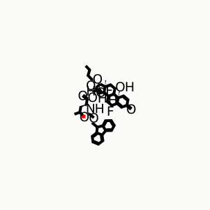 CCCC1O[C@@H]2C[C@H]3[C@@H]4C[C@H](F)C5=CC(=O)C=C[C@]5(C)[C@@]4(F)[C@@H](O)C[C@]3(C)[C@]2(C(=O)COC(=O)[C@H](CC(C)C)NC(=O)OCC2c3ccccc3-c3ccccc32)O1